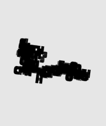 CO[C@@H](C)c1c(NC(=O)Nc2cc(Cl)cnc2OCCNC2CCC(N3CCN(c4cc5c(cc4F)C(=O)N(C4CCC(=O)NC4=O)C5=O)CC3)CC2)cnc2cc(Cl)nn12